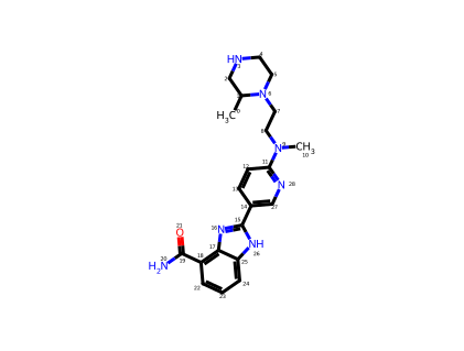 CC1CNCCN1CCN(C)c1ccc(-c2nc3c(C(N)=O)cccc3[nH]2)cn1